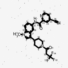 Cn1cc(C2CCN(C(=O)CC(F)(F)F)CC2)c2cc(NC(=O)c3cc(C#N)ccn3)ccc21